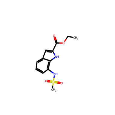 CCOC(=O)c1cc2cccc(NS(C)(=O)=O)c2[nH]1